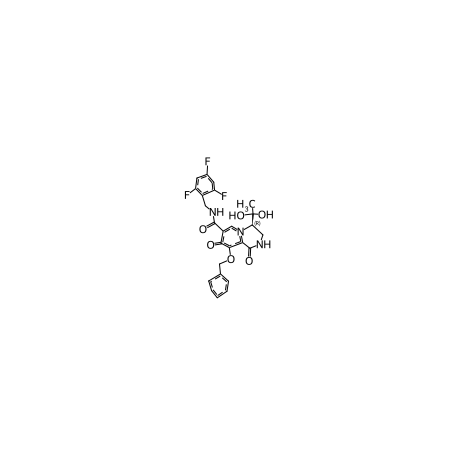 CC(O)(O)[C@H]1CNC(=O)c2c(OCc3ccccc3)c(=O)c(C(=O)NCc3c(F)cc(F)cc3F)cn21